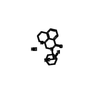 Cl.O=C1c2cccc3c2[C@@H](CCC3)CN1[C@H]1CN2CCC1CC2